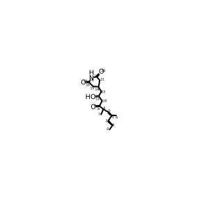 CC=CC(C)=CC(C)C(=O)CC(O)CC1CC(=O)NC(=O)C1